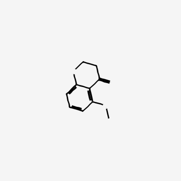 COc1cccc2c1C(=O)CCS2